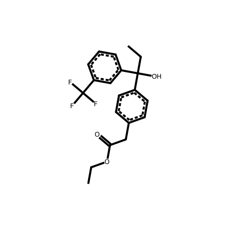 CCOC(=O)Cc1ccc(C(O)(CC)c2cccc(C(F)(F)F)c2)cc1